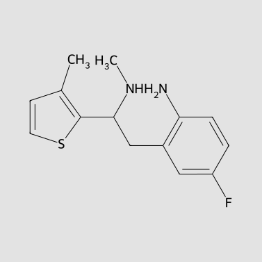 CNC(Cc1cc(F)ccc1N)c1sccc1C